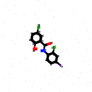 O=C(Nc1ccc(I)cc1Cl)c1cc(Cl)ccc1O